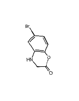 O=C1CNc2cc(Br)ccc2O1